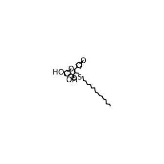 CCCCCCCCCCCCCCCCSCc1c(-c2ccc(OC)cc2)oc2cc(O)cc(O)c2c1=O